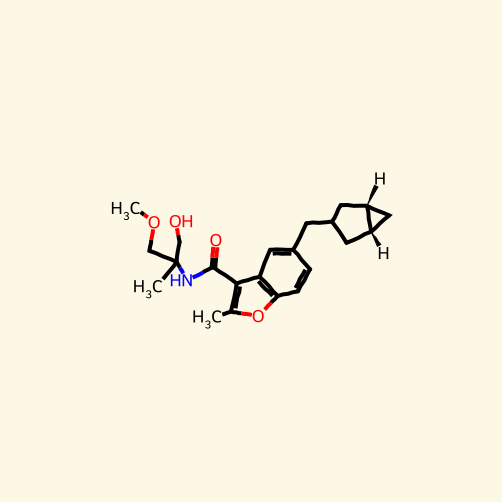 COCC(C)(CO)NC(=O)c1c(C)oc2ccc(CC3C[C@@H]4C[C@@H]4C3)cc12